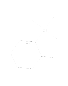 CC1CCCC=C1[Si](C)(C)C